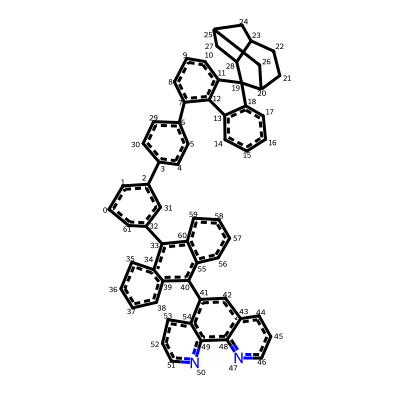 c1cc(-c2ccc(-c3cccc4c3-c3ccccc3C43C4CCC5CC(C4)CC53)cc2)cc(-c2c3ccccc3c(-c3cc4cccnc4c4ncccc34)c3ccccc23)c1